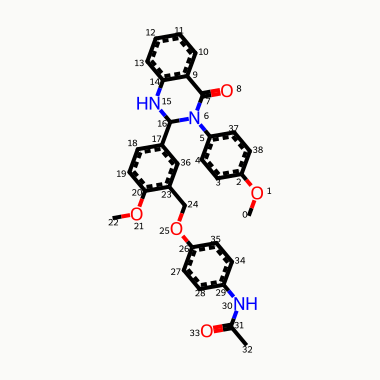 COc1ccc(N2C(=O)c3ccccc3NC2c2ccc(OC)c(COc3ccc(NC(C)=O)cc3)c2)cc1